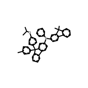 Cc1ccc(C2(c3ccc(OC(C)C)cc3)c3ccccc3-c3ccc(N(c4ccccc4)c4ccc5c(c4)C(C)(C)c4ccccc4-5)cc32)cc1